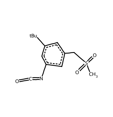 CC(C)(C)c1cc(CS(C)(=O)=O)cc(N=C=O)c1